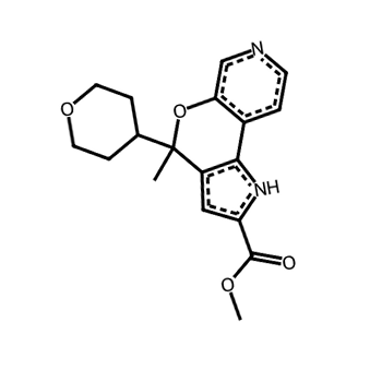 COC(=O)c1cc2c([nH]1)-c1ccncc1OC2(C)C1CCOCC1